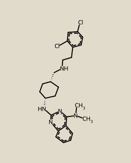 CN(C)c1nc(N[C@H]2CC[C@@H](CNCCc3ccc(Cl)cc3Cl)CC2)nc2ccccc12